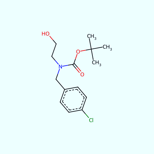 CC(C)(C)OC(=O)N(CCO)Cc1ccc(Cl)cc1